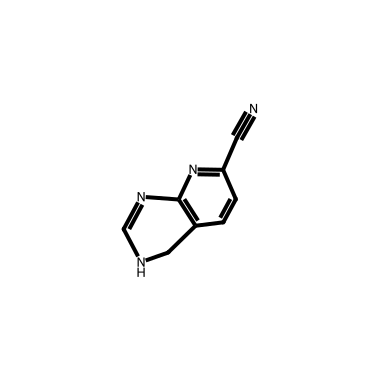 N#Cc1ccc2c(n1)N=CNC2